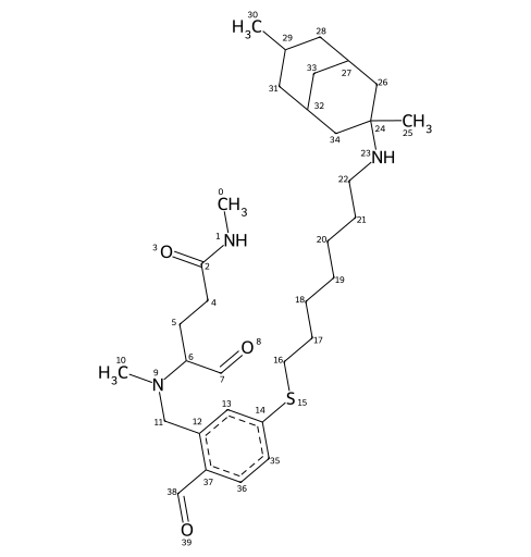 CNC(=O)CCC(C=O)N(C)Cc1cc(SCCCCCCCNC2(C)CC3CC(C)CC(C3)C2)ccc1C=O